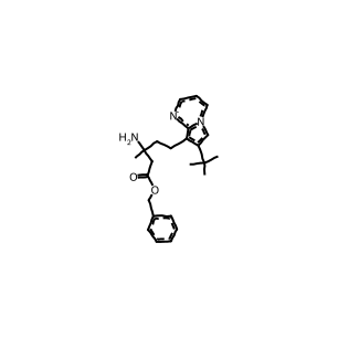 CC(N)(CCc1c(C(C)(C)C)cn2cccnc12)CC(=O)OCc1ccccc1